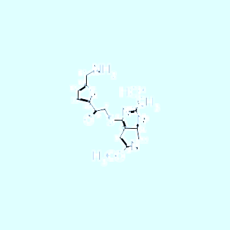 COc1cc2c(SCC(=O)c3ccc(CN)s3)nc(C)nc2cn1.Cl